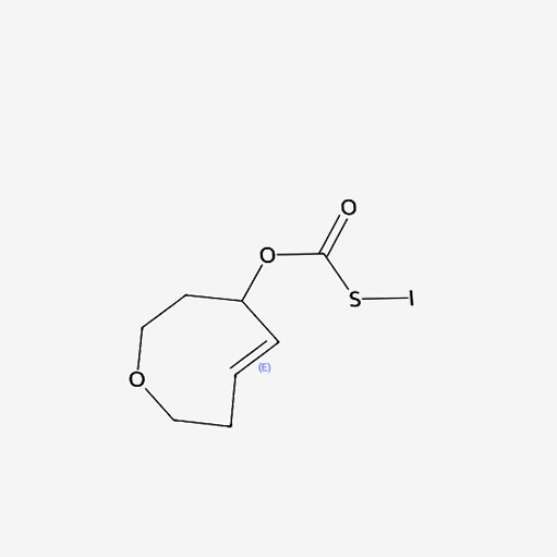 O=C(OC1/C=C/CCOCC1)SI